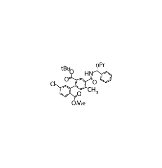 CCC[C@@H](NC(=O)c1cc(C(=O)OC(C)(C)C)c(-c2cc(Cl)ccc2C(=O)OC)cc1C)c1ccccc1